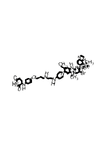 CCc1cc(Nc2ncc(Br)c(Nc3ccc4nccnc4c3P(C)(C)=O)n2)c(OC)cc1N1CCC(NCCNCCCOc2ccc(NC3CCC(=O)NC3=O)cc2)CC1